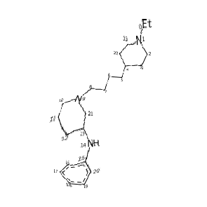 CCN1CCC(CCCCN2CCCC(Nc3ccccc3)C2)CC1